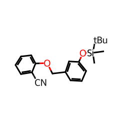 CC(C)(C)[Si](C)(C)Oc1cccc(COc2ccccc2C#N)c1